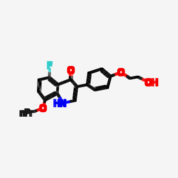 CCCOc1ccc(F)c2c(=O)c(-c3ccc(OCCO)cc3)c[nH]c12